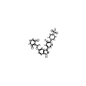 CC(Oc1ccc2[nH]nc(-c3cnc(N4CCN(S(C)(=O)=O)CC4)c(F)c3)c2c1)c1c(Cl)cncc1Cl